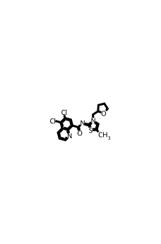 Cc1cn(CC2CCCO2)c(=NC(=O)c2cc(Cl)c(Cl)c3cccnc23)s1